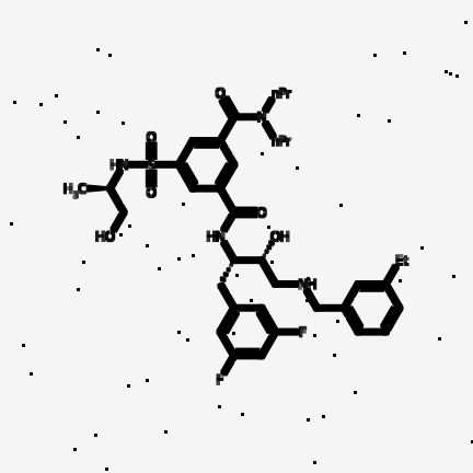 CCCN(CCC)C(=O)c1cc(C(=O)N[C@@H](Cc2cc(F)cc(F)c2)[C@H](O)CNCc2cccc(CC)c2)cc(S(=O)(=O)N[C@H](C)CO)c1